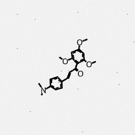 COc1cc(OC)c(C(=O)C=Cc2ccc(N(C)C)cc2)c(OC)c1